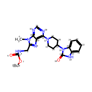 Cn1c(CNC(=O)OC(C)(C)C)nc2c(N3CCC(n4c(=O)[nH]c5ccccc54)CC3)ncnc21